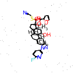 C[C@]12Cc3cnn(-c4ccc(F)nc4)c3C=C1CC[C@@H]1[C@@H]2[C@@H](O)C[C@@]2(C)[C@H]1CC[C@]2(OC(=O)c1ccco1)C(=O)SCC#N